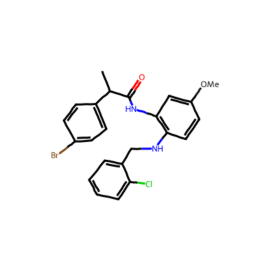 COc1ccc(NCc2ccccc2Cl)c(NC(=O)C(C)c2ccc(Br)cc2)c1